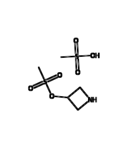 CS(=O)(=O)O.CS(=O)(=O)OC1CNC1